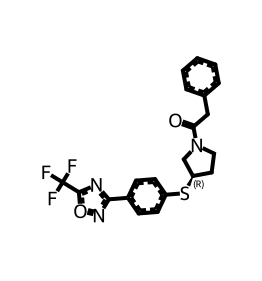 O=C(Cc1ccccc1)N1CC[C@@H](Sc2ccc(-c3noc(C(F)(F)F)n3)cc2)C1